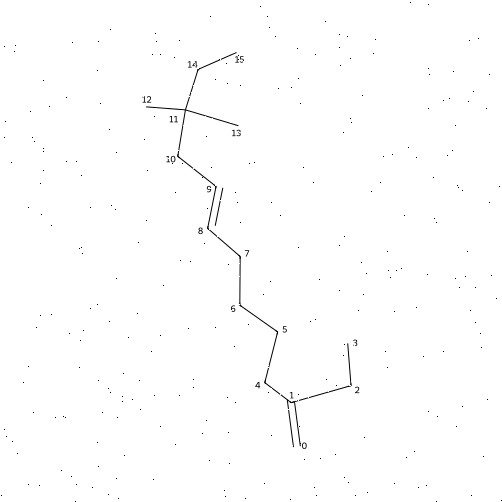 C=C(CC)CCCCC=CCC(C)(C)CC